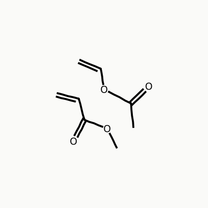 C=CC(=O)OC.C=COC(C)=O